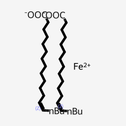 CCCC/C=C\CCCCCCCCCCCC(=O)[O-].CCCC/C=C\CCCCCCCCCCCC(=O)[O-].[Fe+2]